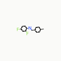 Cc1ccc(/C=N/c2ccc(F)cc2F)cc1